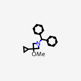 COC1(C2CC2)CN(C(c2ccccc2)c2ccccc2)C1